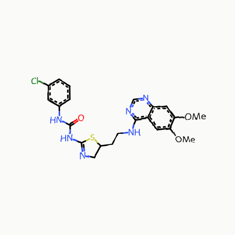 COc1cc2ncnc(NCCC3CN=C(NC(=O)Nc4cccc(Cl)c4)S3)c2cc1OC